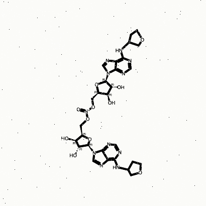 O=[N+](OC[C@H]1O[C@@H](n2cnc3c(NC4CCOC4)ncnc32)[C@H](O)[C@H]1O)OC[C@H]1O[C@@H](n2cnc3c(NC4CCOC4)ncnc32)[C@H](O)[C@H]1O